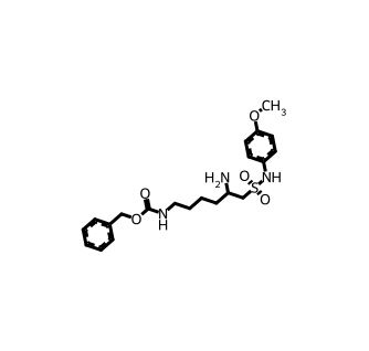 COc1ccc(NS(=O)(=O)CC(N)CCCCNC(=O)OCc2ccccc2)cc1